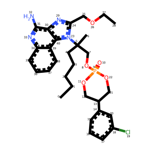 CCCCCC(C)(COP1(=O)OCC(c2cccc(Cl)c2)CO1)n1c(COCC)nc2c(N)nc3ccccc3c21